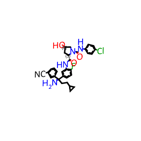 N#Cc1cccc(C(N)(CCC2CC2)c2ccc(F)c(NC(=O)[C@@H]3C[C@@H](O)CN3C(=O)Nc3ccc(Cl)cc3)c2)c1